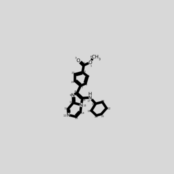 COC(=O)c1ccc(-c2nc3cnccn3c2NC2CCCCC2)cc1